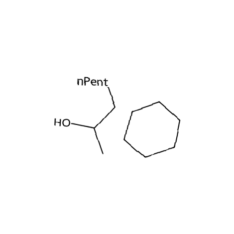 C1CCCCC1.CCCCCCC(C)O